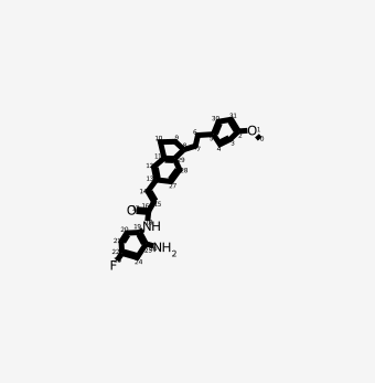 COc1ccc(C[CH]C2CCc3cc(/C=C/C(=O)Nc4ccc(F)cc4N)ccc32)cc1